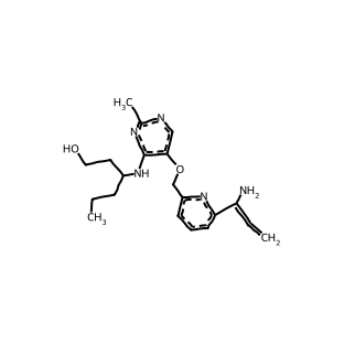 C=C=C(N)c1cccc(COc2cnc(C)nc2NC(CCC)CCO)n1